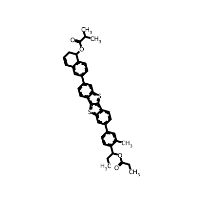 CCC(=O)OC(CC)c1ccc(-c2ccc3c(c2)sc2c4ccc(-c5ccc6c(c5)C=CCC6OC(=O)C(C)C)cc4sc32)cc1C